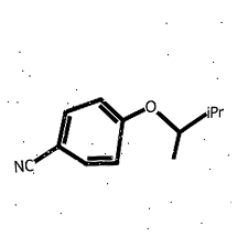 CC(C)C(C)Oc1ccc(C#N)cc1